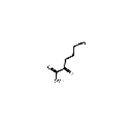 COC(=O)C(=O)CCCC(C)C